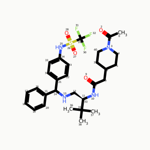 CC(=O)N1CCC(CC(=O)N[C@H](CNC(c2ccccc2)c2ccc(NS(=O)(=O)C(F)(F)F)cc2)C(C)(C)C)CC1